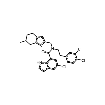 CC1CCc2cc(CN(CCc3ccc(Cl)c(Cl)c3)C(=O)c3cc(Cl)cc4cc[nH]c34)sc2C1